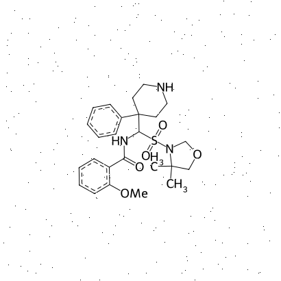 COc1ccccc1C(=O)NC(C1(c2ccccc2)CCNCC1)S(=O)(=O)N1COCC1(C)C